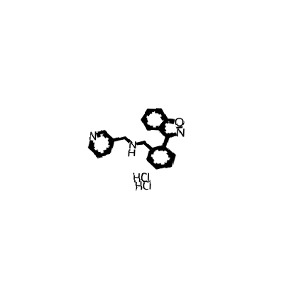 Cl.Cl.c1cncc(CNCc2ccccc2-c2noc3ccccc23)c1